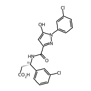 O=C(O)C[C@H](NC(=O)c1cc(O)n(-c2cccc(Cl)c2)n1)c1cccc(Cl)c1